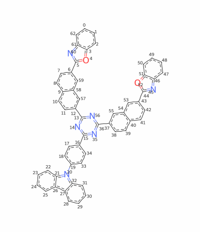 c1ccc2oc(-c3ccc4ccc(-c5nc(-c6ccc(-n7c8ccccc8c8ccccc87)cc6)nc(-c6ccc7ccc(-c8nc9ccccc9o8)cc7c6)n5)cc4c3)nc2c1